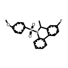 COc1ccc(S(=O)(=O)N2c3ccccc3-c3ccc(F)cc3C2C)cc1